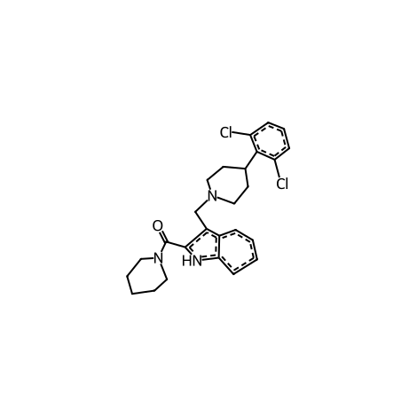 O=C(c1[nH]c2ccccc2c1CN1CCC(c2c(Cl)cccc2Cl)CC1)N1CCCCC1